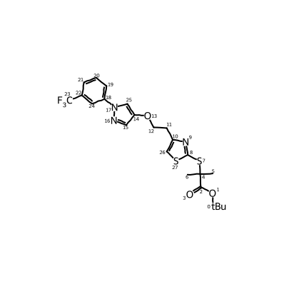 CC(C)(C)OC(=O)C(C)(C)Sc1nc(CCOc2cnn(-c3cccc(C(F)(F)F)c3)c2)cs1